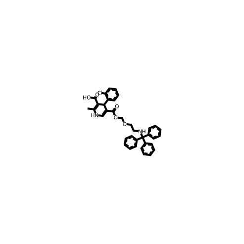 CC1=C(C(=O)O)C(c2ccccc2Cl)C(C(=O)OCOCCNC(c2ccccc2)(c2ccccc2)c2ccccc2)=CN1